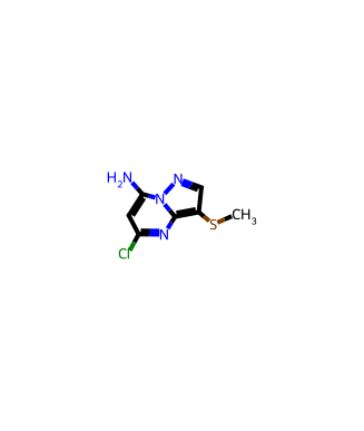 CSc1cnn2c(N)cc(Cl)nc12